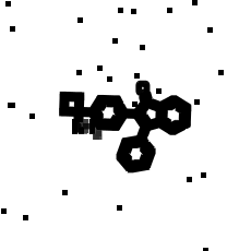 NC1(c2ccc(C3=C(c4ccccc4)c4ccccc4C3=O)cc2)CCC1